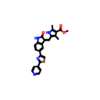 COC(=O)c1c(C)[nH]c(/C=C2\C(=O)Nc3ccc(-c4csc(-c5ccncc5)n4)cc32)c1C